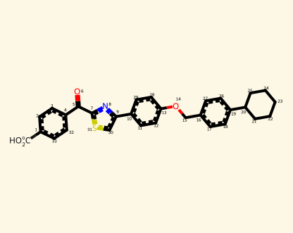 O=C(O)c1ccc(C(=O)c2nc(-c3ccc(OCc4ccc(C5CCCCC5)cc4)cc3)cs2)cc1